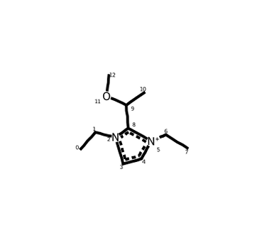 CCn1cc[n+](CC)c1C(C)OC